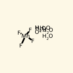 O.O.O.O.O.[F][Mn]([F])([F])[F]